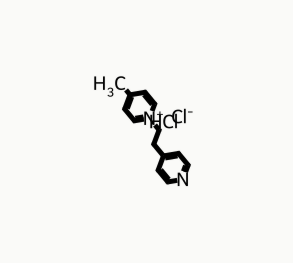 Cc1cc[n+](CCc2ccncc2)cc1.Cl.[Cl-]